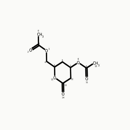 CC(=O)OCC1CC(OC(C)=O)CC(=O)O1